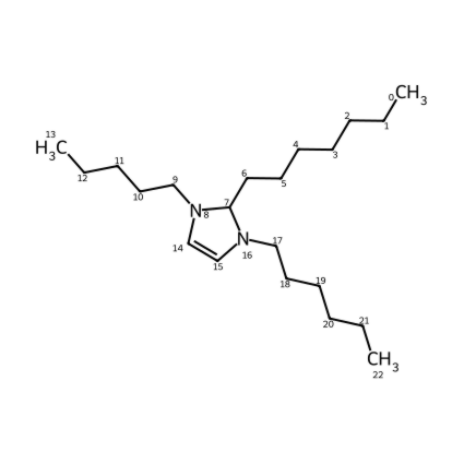 CCCCCCCC1N(CCCCC)C=CN1CCCCCC